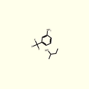 CCC(C)O.Nc1cccc(C(F)(F)F)c1